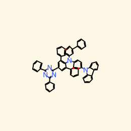 c1ccc(-c2cccc(N(c3ccc(-n4c5ccccc5c5ccccc54)cc3)c3c(-c4ccccc4)cc(-c4nc(-c5ccccc5)nc(-c5ccccc5)n4)cc3-c3ccccc3)c2)cc1